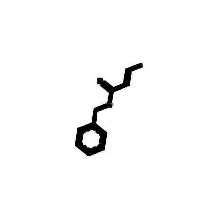 C/C=C/C(=O)[N]Cc1ccccc1